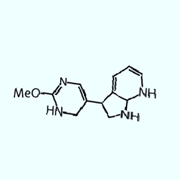 COC1=NC=C(C2CNC3NC=CC=C32)CN1